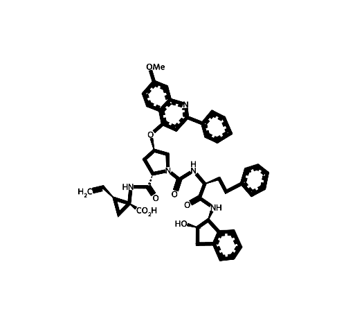 C=C[C@@H]1C[C@]1(NC(=O)[C@@H]1C[C@@H](Oc2cc(-c3ccccc3)nc3cc(OC)ccc23)CN1C(=O)N[C@@H](CCc1ccccc1)C(=O)N[C@H]1c2ccccc2C[C@H]1O)C(=O)O